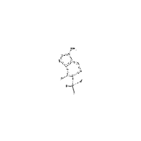 Nn1[c]nc2c(F)c(C(F)(F)F)ccc21